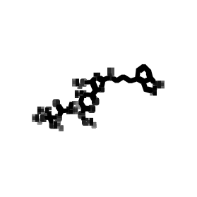 COC(=O)[C@H](CNC(=O)OC(C)(C)C)NC(=O)c1sc(NCCCc2cccc3[nH]ncc23)nc1C